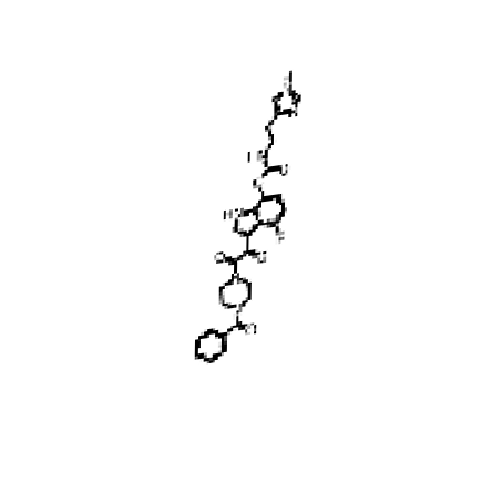 O=C(NCCc1c[nH]cn1)Oc1ccc(F)c2c(C(=O)C(=O)N3CCN(C(=O)c4ccccc4)CC3)c[nH]c12